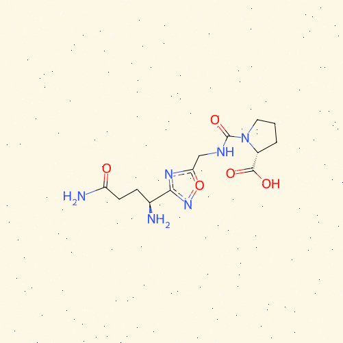 NC(=O)CC[C@H](N)c1noc(CNC(=O)N2CCC[C@@H]2C(=O)O)n1